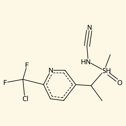 CC(c1ccc(C(F)(F)Cl)nc1)[SH](C)(=O)NC#N